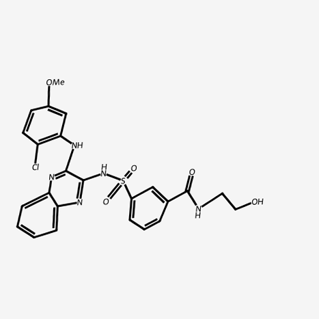 COc1ccc(Cl)c(Nc2nc3ccccc3nc2NS(=O)(=O)c2cccc(C(=O)NCCO)c2)c1